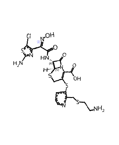 NCCSCc1ncccc1SC1=C(C(=O)O)N2C(=O)[C@@H](NC(=O)/C(=N\O)c3nc(N)sc3Cl)[C@@H]2SC1